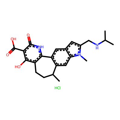 CC(C)NCc1cc2cc3c(cc2n1C)C(C)CCc1c-3[nH]c(=O)c(C(=O)O)c1O.Cl